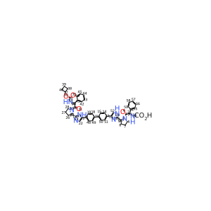 O=C(O)N[C@@H](C(=O)N1CCC[C@H]1c1nc(-c2ccc(-c3ccc(-c4cnc([C@@H]5CCCN5C(=O)[C@H](NC(=O)OC5CCC5)c5ccccc5)[nH]4)cc3)cc2)c[nH]1)c1ccccc1